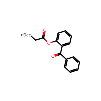 CCCCCCCCCCCC(=O)Oc1ccccc1C(=O)c1ccccc1